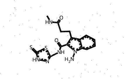 CNC(=O)CCc1c(C(=O)Nc2n[nH]c(=S)s2)n(N)c2ccccc12